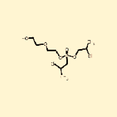 CC(Cl)COP(=O)(CC(C)Cl)OCCOCCO